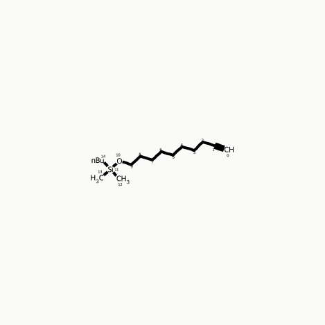 C#CCCCCCCCCO[Si](C)(C)CCCC